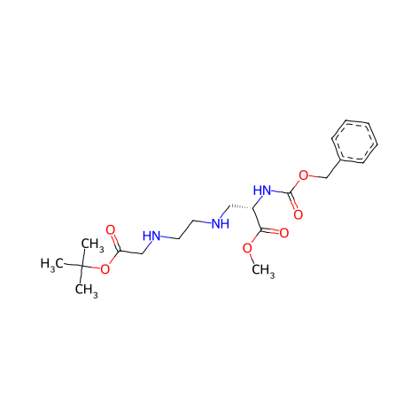 COC(=O)[C@H](CNCCNCC(=O)OC(C)(C)C)NC(=O)OCc1ccccc1